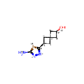 Nc1nnc(C2CC3(CC(O)C3)C2)s1